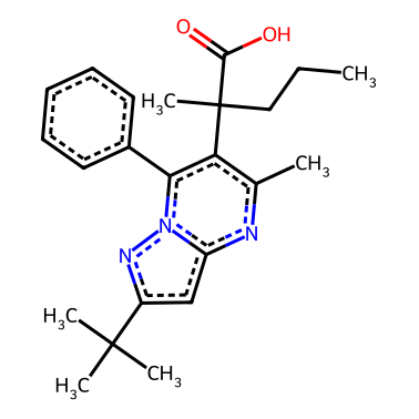 CCCC(C)(C(=O)O)c1c(C)nc2cc(C(C)(C)C)nn2c1-c1ccccc1